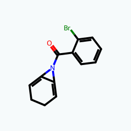 O=C(c1ccccc1Br)N1C2=CCCC=C21